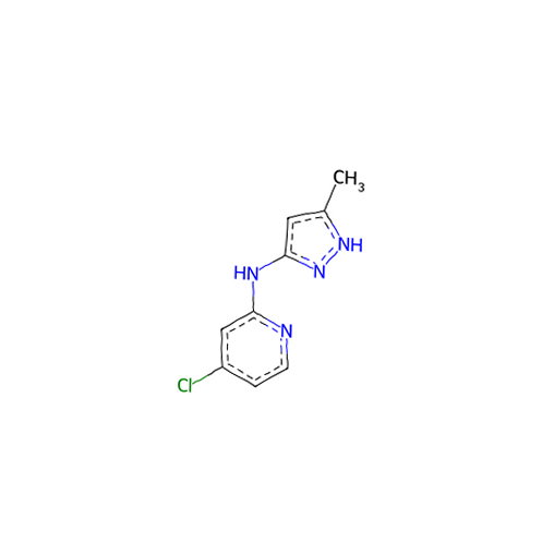 Cc1cc(Nc2cc(Cl)ccn2)n[nH]1